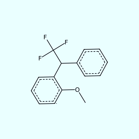 COc1[c]cccc1C(c1ccccc1)C(F)(F)F